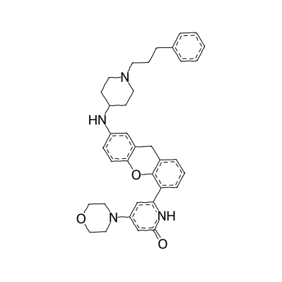 O=c1cc(N2CCOCC2)cc(-c2cccc3c2Oc2ccc(NC4CCN(CCCc5ccccc5)CC4)cc2C3)[nH]1